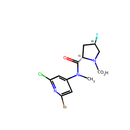 CN(C(=O)[C@@H]1C[C@@H](F)CN1C(=O)O)c1cc(Cl)nc(Br)c1